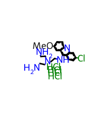 COc1ccc2nc3cc(Cl)ccc3c(NCCN(CCN)CCN)c2c1.Cl.Cl.Cl.Cl